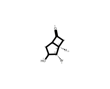 O=C1C[C@@H]2C1CC(O)[C@H]2Br